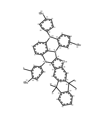 Cc1cc(N2c3cccc4c3B(c3cc(C(C)(C)C)ccc3N4c3ccc(C(C)(C)C)cc3)c3oc4cc5c(cc4c32)C(C)(C)c2ccccc2C5(C)C)ccc1C(C)(C)C